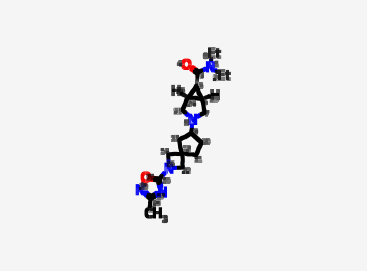 CCN(CC)C(=O)[C@H]1[C@@H]2CN(C3CCC4(C3)CN(c3nc(C)no3)C4)C[C@@H]21